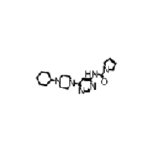 O=C(Nc1cc(N2CCN(C3CCCCC3)CC2)ncn1)N1CC=CC1